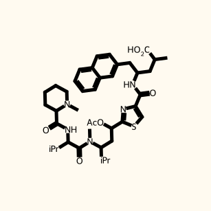 CC(=O)OC(CC(C(C)C)N(C)C(=O)C(NC(=O)C1CCCCN1C)C(C)C)c1nc(C(=O)NC(Cc2ccc3ccccc3c2)CC(C)C(=O)O)cs1